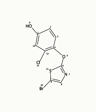 Oc1ccc(Oc2ncc(Br)s2)c(Cl)c1